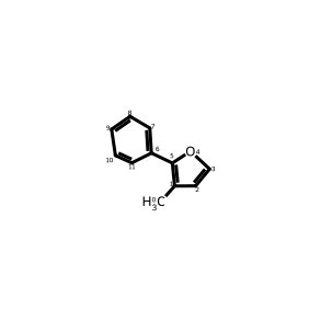 Cc1ccoc1-c1c[c]ccc1